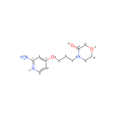 Nc1cc(OCCCN2CCOCC2=O)ccn1